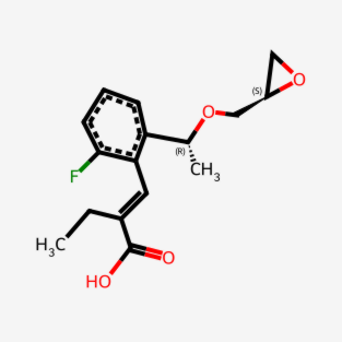 CCC(=Cc1c(F)cccc1[C@@H](C)OC[C@H]1CO1)C(=O)O